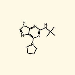 CC(C)(C)Nc1nc(N2CCCC2)c2nc[nH]c2n1